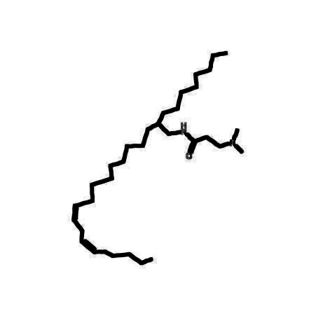 CCCCC/C=C\C/C=C\CCCCCCCCC(CCCCCCCC)CNC(=O)CCN(C)C